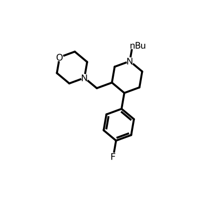 CCCCN1CCC(c2ccc(F)cc2)C(CN2CCOCC2)C1